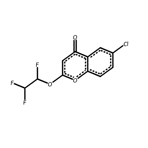 O=c1cc(OC(F)C(F)F)oc2ccc(Cl)cc12